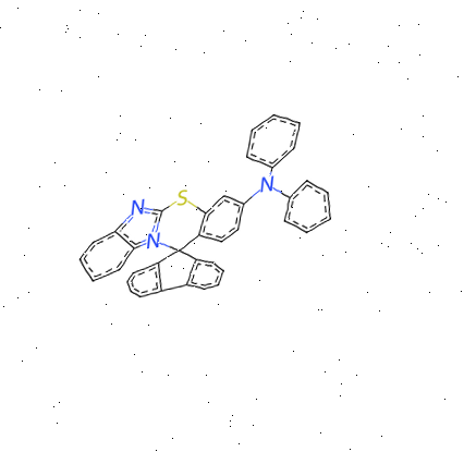 c1ccc(N(c2ccccc2)c2ccc3c(c2)Sc2nc4ccccc4n2C32c3ccccc3-c3ccccc32)cc1